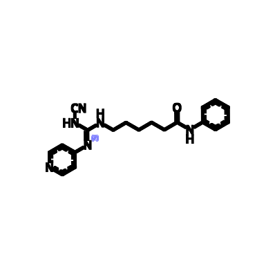 N#CN/C(=N\c1ccncc1)NCCCCCC(=O)Nc1ccccc1